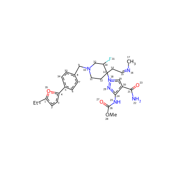 CCc1ccc(-c2ccc(CN3CCC(C/C=N\C)(n4cc(C(N)=O)c(NC(=O)OC)n4)C(F)C3)cc2)o1